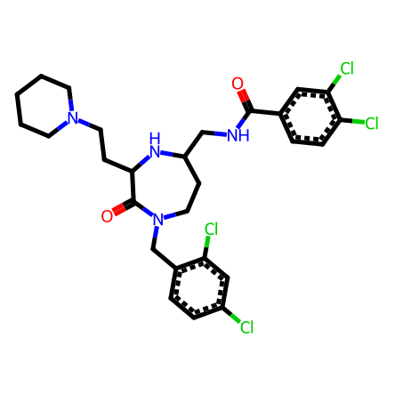 O=C(NCC1CCN(Cc2ccc(Cl)cc2Cl)C(=O)C(CCN2CCCCC2)N1)c1ccc(Cl)c(Cl)c1